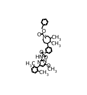 COc1cc(-c2c(C)cccc2C)nc(NS(=O)(=O)c2cccc(C3CCN(C(=O)OCc4ccccc4)CC(C)[C@H]3C)c2)n1